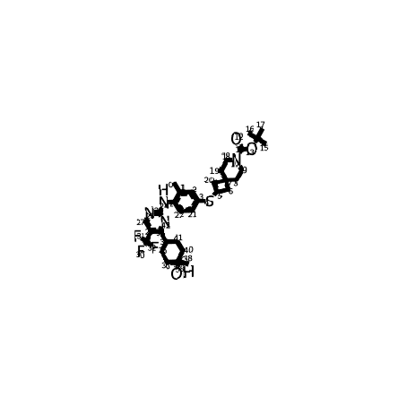 Cc1cc(SC2CC3(CCN(C(=O)OC(C)(C)C)CC3)C2)ccc1Nc1ncc(C(F)(F)F)c(C2CCC(C)(O)CC2)n1